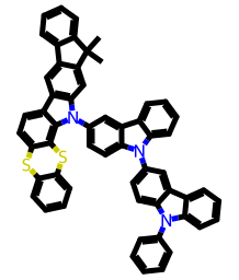 CC1(C)c2ccccc2-c2cc3c4ccc5c(c4n(-c4ccc6c(c4)c4ccccc4n6-c4ccc6c(c4)c4ccccc4n6-c4ccccc4)c3cc21)Sc1ccccc1S5